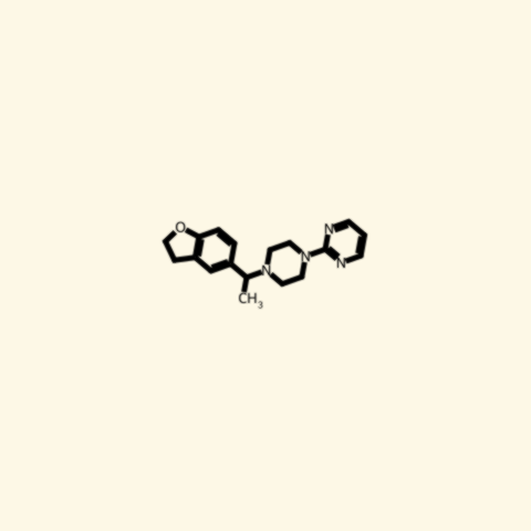 CC(c1ccc2c(c1)CCO2)N1CCN(c2ncccn2)CC1